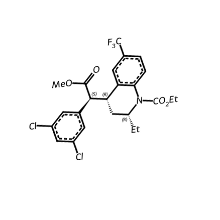 CCOC(=O)N1c2ccc(C(F)(F)F)cc2[C@@H]([C@H](C(=O)OC)c2cc(Cl)cc(Cl)c2)C[C@H]1CC